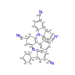 N#Cc1cccc(-c2c(-n3c4ccccc4c4cc(C#N)ccc43)cc(C#N)cc2-n2c3ccccc3c3cc(C#N)ccc32)c1